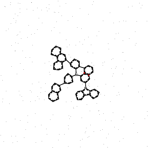 c1ccc(-c2ccc(-c3cc4ccccc4c4ccccc34)cc2N(c2ccc(-c3ccc4ccccc4c3)cc2)c2cccc(-n3c4ccccc4c4ccccc43)c2)cc1